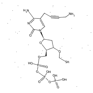 NCC#CCc1cn([C@H]2CC(OCS)[C@@H](COP(=O)(O)OP(=O)(O)OP(=O)(O)O)O2)c(=O)nc1N